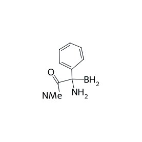 BC(N)(C(=O)NC)c1ccccc1